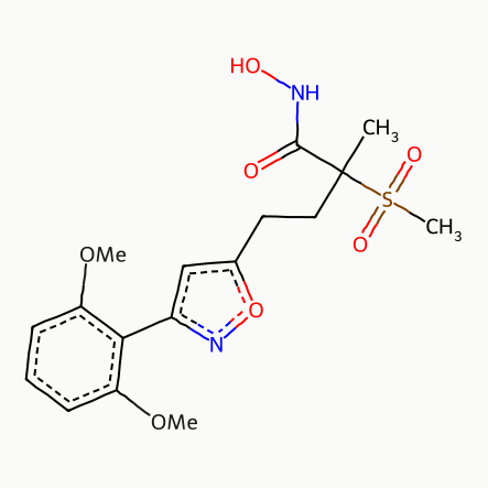 COc1cccc(OC)c1-c1cc(CCC(C)(C(=O)NO)S(C)(=O)=O)on1